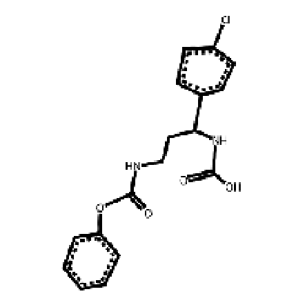 O=C(O)NC(CCNC(=O)Oc1ccccc1)c1ccc(Cl)cc1